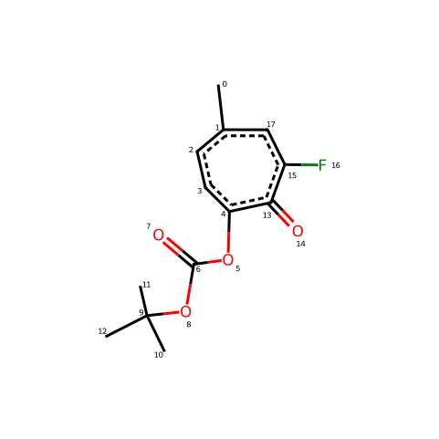 Cc1ccc(OC(=O)OC(C)(C)C)c(=O)c(F)c1